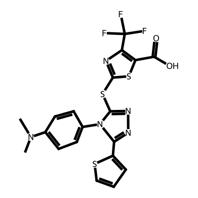 CN(C)c1ccc(-n2c(Sc3nc(C(F)(F)F)c(C(=O)O)s3)nnc2-c2cccs2)cc1